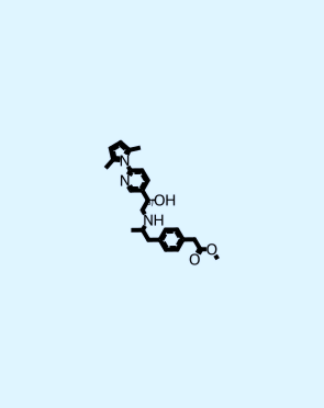 COC(=O)Cc1ccc(CC(C)NC[C@@H](O)c2ccc(-n3c(C)ccc3C)nc2)cc1